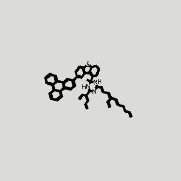 C=C/C=C(\C=C)C1N=C(/C=C/C=C(C=C)/C=C/CCC=C)NC(C)(C2=C3c4cc(-c5ccc6c(c5)-c5ccccc5C5C=CC=CC65)ccc4SC3CC=C2)N1